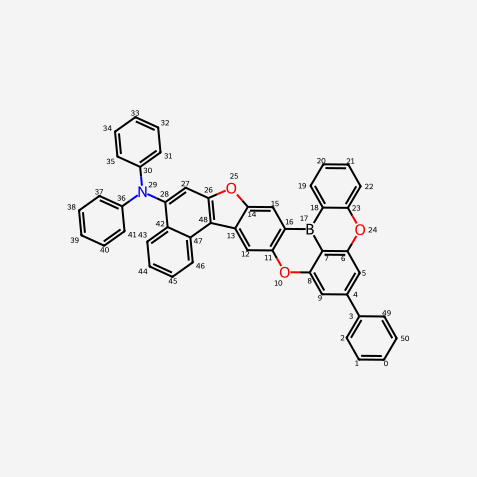 c1ccc(-c2cc3c4c(c2)Oc2cc5c(cc2B4c2ccccc2O3)oc2cc(N(c3ccccc3)c3ccccc3)c3ccccc3c25)cc1